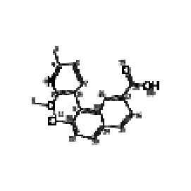 COc1nc(C)ccc1-c1c(Cl)ccc2ccc(C(=O)O)cc12